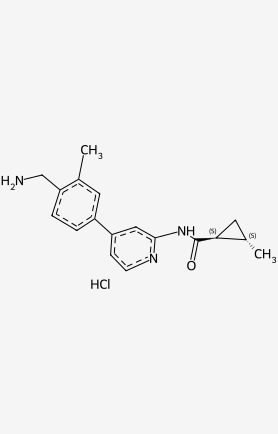 Cc1cc(-c2ccnc(NC(=O)[C@H]3C[C@@H]3C)c2)ccc1CN.Cl